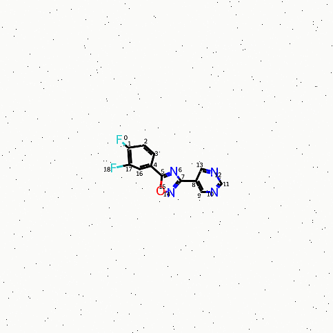 Fc1ccc(-c2nc(-c3cncnc3)no2)cc1F